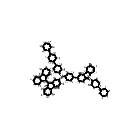 C1=CC(c2ccccc2)CC=C1n1c2ccccc2c2cc(-c3ccc(N(c4ccc(-c5ccc(-c6ccccc6)cc5)cc4)c4ccc5c(c4)C(=C4c6ccccc6-c6ccccc64)c4ccccc4-5)cc3)ccc21